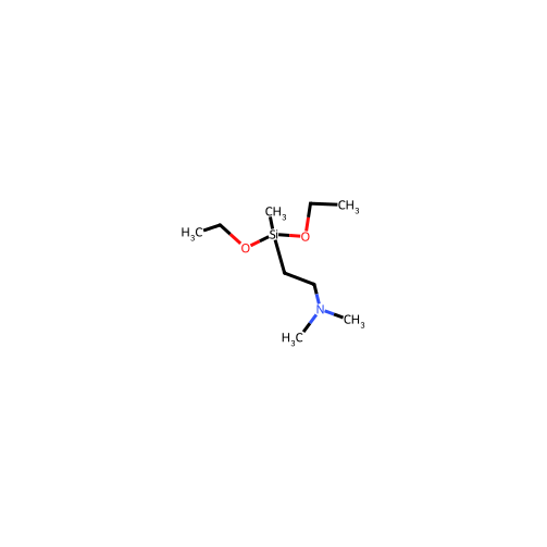 CCO[Si](C)(CCN(C)C)OCC